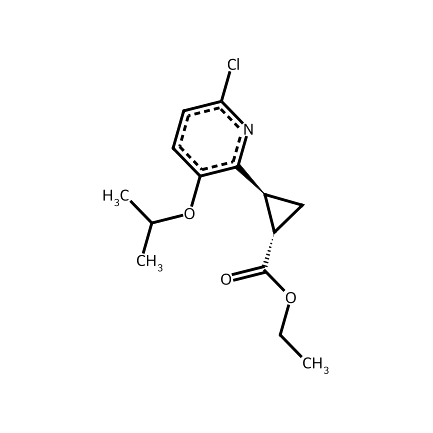 CCOC(=O)[C@H]1C[C@@H]1c1nc(Cl)ccc1OC(C)C